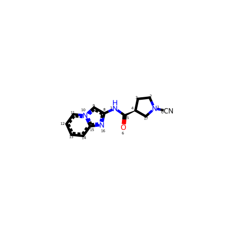 N#CN1CC[C@H](C(=O)Nc2cn3ccccc3n2)C1